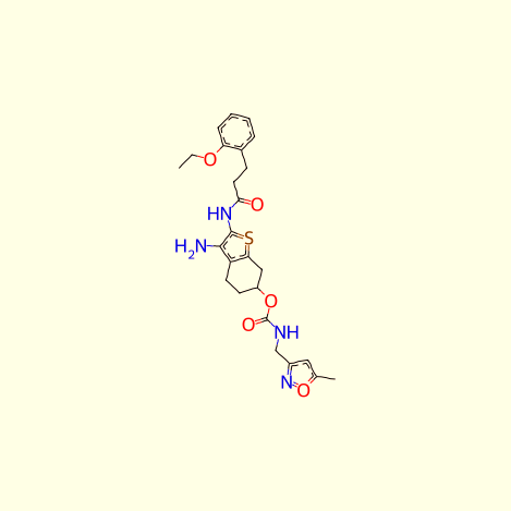 CCOc1ccccc1CCC(=O)Nc1sc2c(c1N)CCC(OC(=O)NCc1cc(C)on1)C2